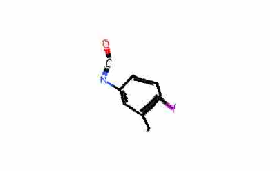 Cc1cc(N=C=O)ccc1I